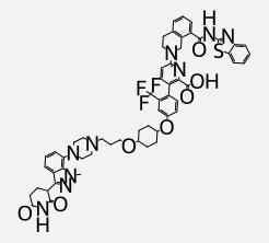 Cn1nc(C2CCC(=O)NC2=O)c2cccc(N3CCN(CCCOC4CCC(Oc5ccc(-c6ccc(N7CCc8cccc(C(=O)Nc9nc%10ccccc%10s9)c8C7)nc6C(=O)O)c(C(F)(F)F)c5)CC4)CC3)c21